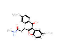 COc1ccc(C(=O)c2c(CCC(=O)NC(C)C)oc3ccc(OC)cc23)cc1